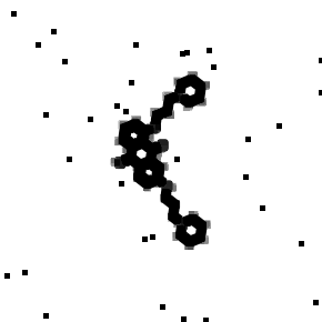 O=C1c2ccc(OCCCN3CCCCC3)cc2C(=O)c2c(OCCCN3CCCCC3)cccc21